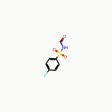 O=[C]NS(=O)(=O)c1ccc(F)cc1